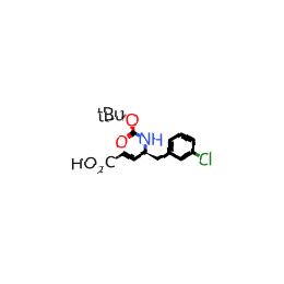 CC(C)(C)OC(=O)N[C@H](C=CC(=O)O)Cc1cccc(Cl)c1